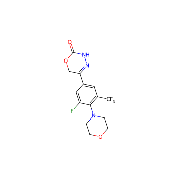 O=C1NN=C(c2cc(F)c(N3CCOCC3)c(C(F)(F)F)c2)CO1